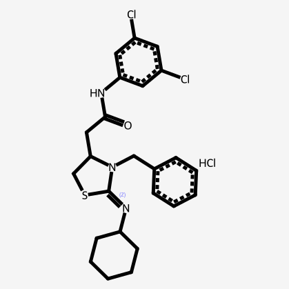 Cl.O=C(CC1CS/C(=N\C2CCCCC2)N1Cc1ccccc1)Nc1cc(Cl)cc(Cl)c1